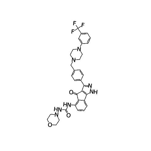 O=C(Nc1cccc2c1C(=O)c1c(-c3ccc(CN4CCN(c5cccc(C(F)(F)F)c5)CC4)cc3)n[nH]c1-2)NN1CCOCC1